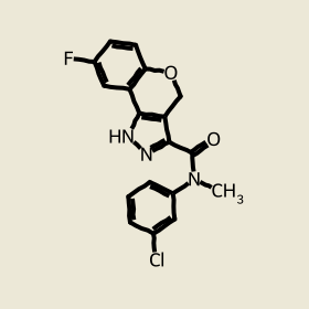 CN(C(=O)c1n[nH]c2c1COc1ccc(F)cc1-2)c1cccc(Cl)c1